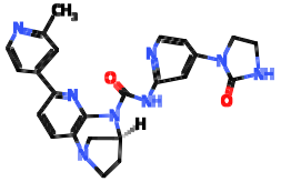 Cc1cc(-c2ccc3c(n2)N(C(=O)Nc2cc(N4CCNC4=O)ccn2)[C@H]2CCN3C2)ccn1